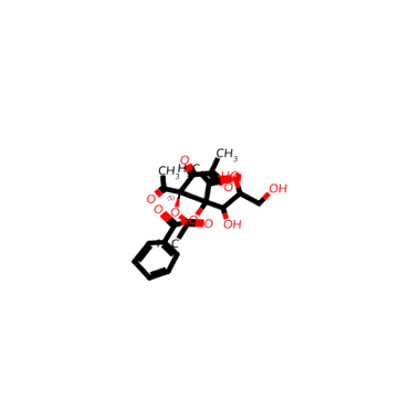 CC(=O)O[C@@](C(C)=O)(C(=O)C(C)=O)C(OC(=O)c1ccccc1)(C(C)=O)C(O)C(O)CO